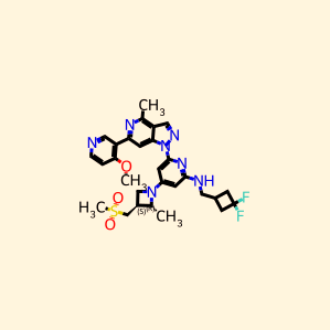 COc1ccncc1-c1cc2c(cnn2-c2cc(N3C[C@H](CS(C)(=O)=O)[C@H]3C)cc(NCC3CC(F)(F)C3)n2)c(C)n1